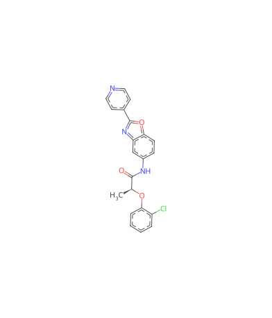 C[C@H](Oc1ccccc1Cl)C(=O)Nc1ccc2oc(-c3ccncc3)nc2c1